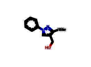 CNc1nn(-c2ccccc2)cc1CO